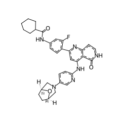 O=C(Nc1ccc(-c2cc(Nc3ccc(N4C[C@H]5CC[C@@H](C4)O5)cn3)c3c(=O)[nH]ccc3n2)c(F)c1)C1CCCCC1